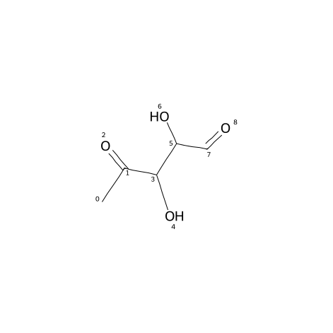 CC(=O)C(O)C(O)C=O